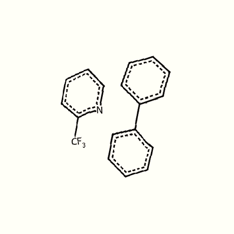 FC(F)(F)c1ccccn1.c1ccc(-c2ccccc2)cc1